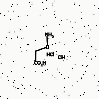 Cl.Cl.NOCC(=O)O